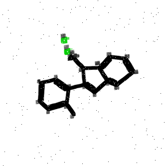 Cc1ccccc1C1=Cc2ccccc2[CH]1[Zr+2].[Cl-].[Cl-]